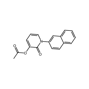 CC(=O)Oc1cccn(-c2ccc3ccccc3c2)c1=O